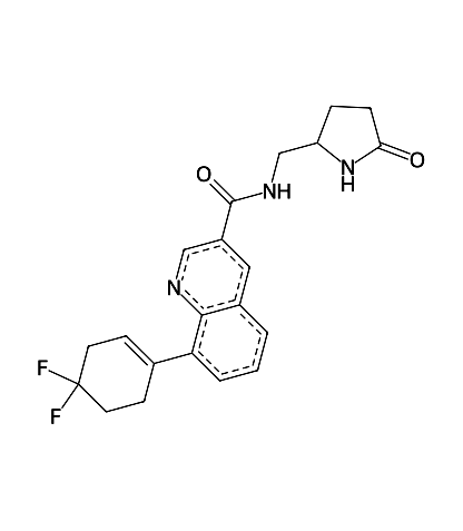 O=C1CCC(CNC(=O)c2cnc3c(C4=CCC(F)(F)CC4)cccc3c2)N1